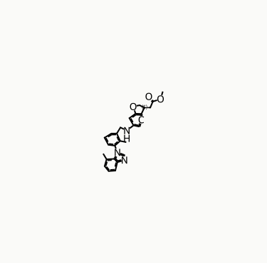 COC(=O)C[C@@H]1COc2cc(NCc3cccc(-n4cnc5cccc(C)c54)c3C)ccc21